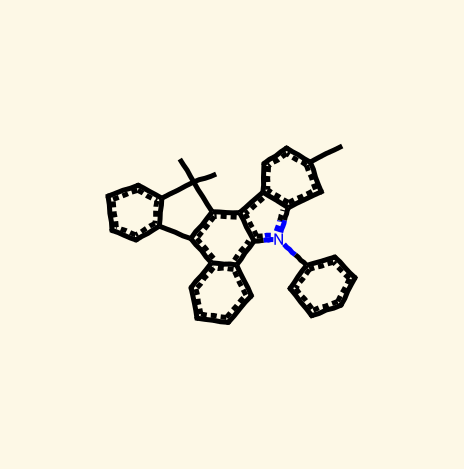 Cc1ccc2c3c4c(c5ccccc5c3n(-c3ccccc3)c2c1)-c1ccccc1C4(C)C